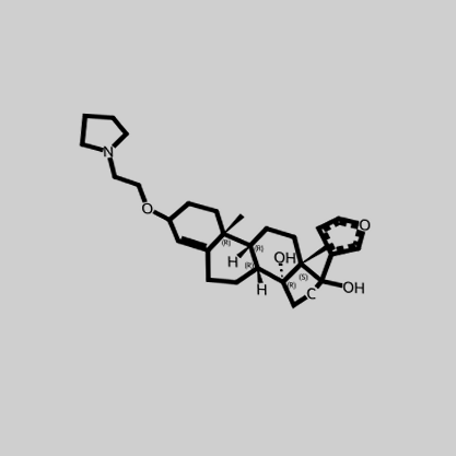 C[C@]12CCC(OCCN3CCCC3)C=C1CC[C@@H]1[C@H]2CC[C@]2(C)C(O)(c3ccoc3)CC[C@@]12O